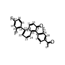 CC(=O)c1ccc(-c2c(=O)ccn3c(-c4ccc(F)cc4F)cccc23)c(F)c1